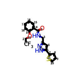 O=C(NCc1cc(-c2cccs2)[nH]n1)c1ccccc1OCC(F)(F)F